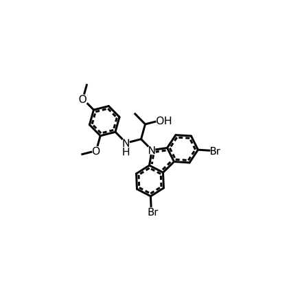 COc1ccc(NC(C(C)O)n2c3ccc(Br)cc3c3cc(Br)ccc32)c(OC)c1